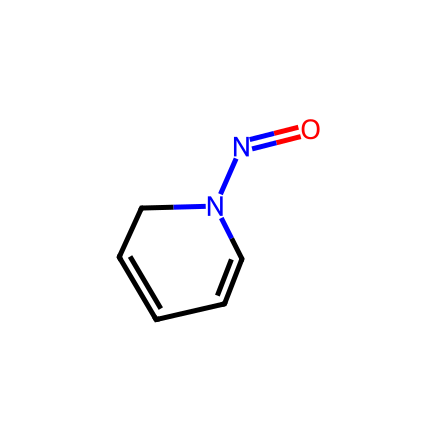 O=NN1C=CC=CC1